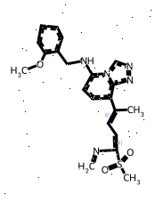 C=N/C(=C\C=C(/C)c1ccc(NCc2ccccc2OC)n2cnnc12)S(C)(=O)=O